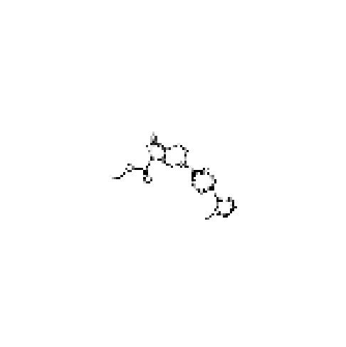 CCOC(=O)c1nn(C)c2c1CN(c1ccc(-c3nccn3C)cn1)CC2